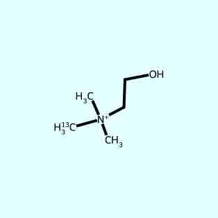 C[N+](C)([13CH3])CCO